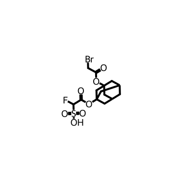 O=C(CBr)OC12CC3CC(C1)CC(OC(=O)C(F)S(=O)(=O)O)(C3)C2